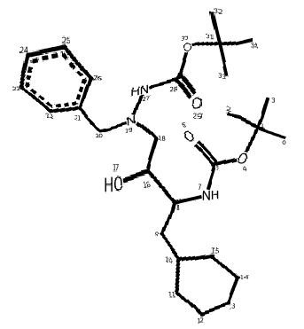 CC(C)(C)OC(=O)NC(CC1CCCCC1)C(O)CN(Cc1ccccc1)NC(=O)OC(C)(C)C